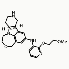 COCCOc1ncccc1Nc1cc2c3c(c1)[C@@H]1CNCC[C@@H]1N3CCOC2